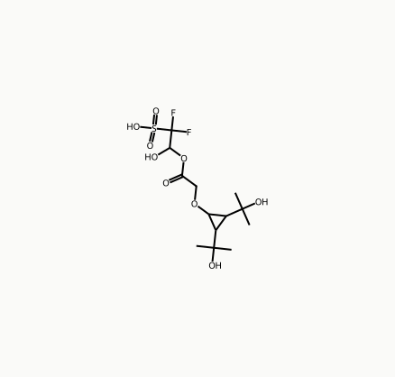 CC(C)(O)C1C(OCC(=O)OC(O)C(F)(F)S(=O)(=O)O)C1C(C)(C)O